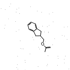 C=C(C)OCC1Cc2ccccc2C1